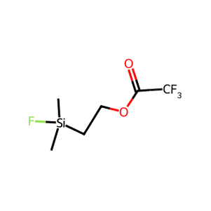 C[Si](C)(F)CCOC(=O)C(F)(F)F